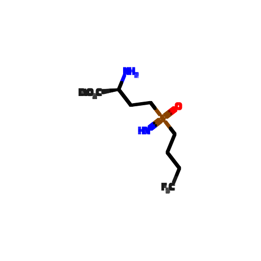 CCOC(=O)[C@@H](N)CCS(=N)(=O)CCCC(F)(F)F